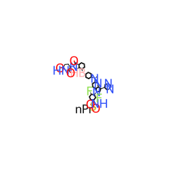 CCCS(=O)(=O)Nc1ccc(F)c(-n2cc(-c3cncnc3)c3nc(N(C)c4ccc(Bc5cccc6c5CN(C5CCC(=O)NC5=O)C6=O)cc4)ccc32)c1F